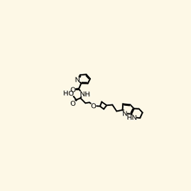 O=C(NC(CCOC1CC(CCc2ccc3c(n2)NCCC3)C1)C(=O)O)c1ccccn1